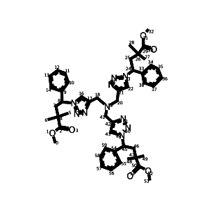 COC(=O)C(C)(C)CC(c1ccccc1)n1cc(CN(Cc2cn(C(CC(C)(C)C(=O)OC)c3ccccc3)nn2)Cc2cn(C(CC(C)(C)C(=O)OC)c3ccccc3)nn2)nn1